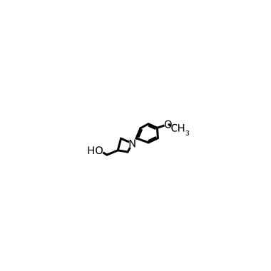 COc1ccc(N2CC(CO)C2)cc1